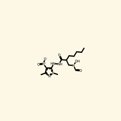 CCCCCC(CN(O)C=O)C(=O)NNc1c([N+](=O)[O-])c(C)nn1C